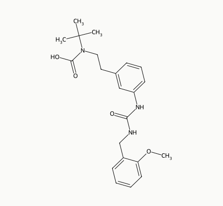 COc1ccccc1CNC(=O)Nc1cccc(CCN(C(=O)O)C(C)(C)C)c1